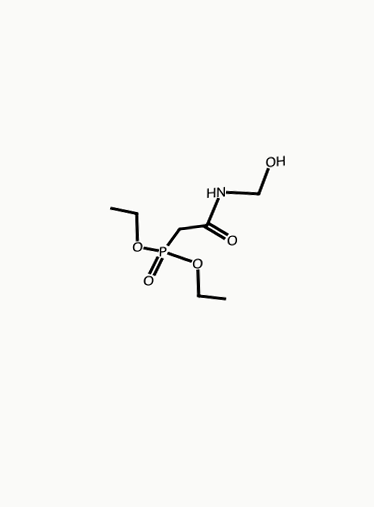 CCOP(=O)(CC(=O)NCO)OCC